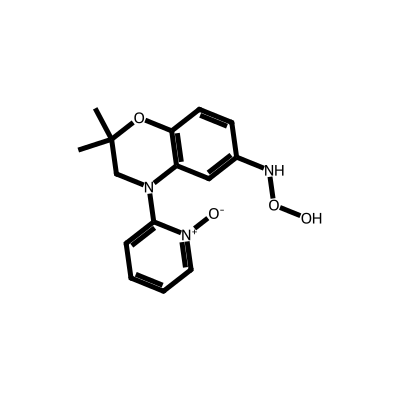 CC1(C)CN(c2cccc[n+]2[O-])c2cc(NOO)ccc2O1